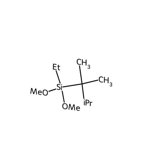 CC[Si](OC)(OC)C(C)(C)C(C)C